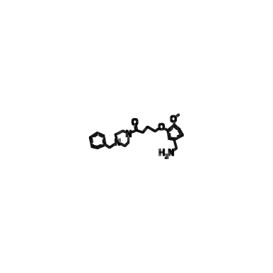 COc1ccc(CN)cc1OCCCC(=O)N1CCN(Cc2ccccc2)CC1